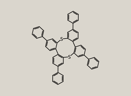 c1ccc(-c2ccc3c(c2)Sc2cc(-c4ccccc4)ccc2-c2ccc(-c4ccccc4)cc2Sc2cc(-c4ccccc4)ccc2-3)cc1